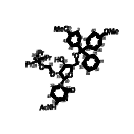 COc1ccc(C(OC[C@H]2O[C@@H](n3ccc(NC(C)=O)nc3=O)[C@H](OCO[Si](C(C)C)(C(C)C)C(C)C)[C@@H]2O)(c2ccccc2)c2ccc(OC)cc2)cc1